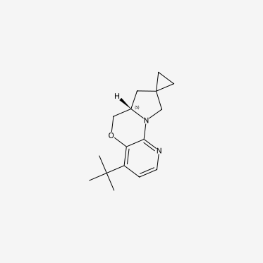 CC(C)(C)c1ccnc2c1OC[C@@H]1CC3(CC3)CN21